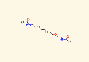 CCC(=O)NCCOCCOCCOCCNC(=O)CC